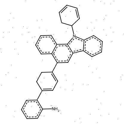 Nc1ccccc1C1=CC=C(c2cc3c4ccccc4n(C4C=CC=CC4)c3c3ccccc23)CC1